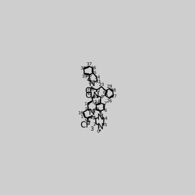 CN1CCN(c2ccc(CN(C(=O)C=Cc3ccc(C(F)(F)F)cn3)C(Cc3ccccc3)C(=O)N3CCc4ccccc4C3)cc2)CC1